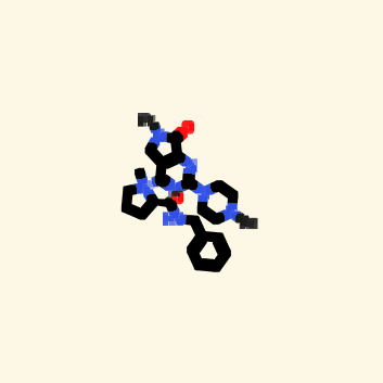 CC(=O)N1CCN(c2nc3c(c([N+]4(C)CCC[C@@H]4C(=O)NCc4ccccc4)n2)CN(C(C)C)C3=O)CC1